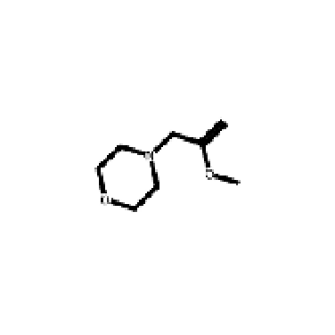 C=C(CN1CCOCC1)OC